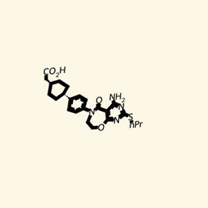 CCCSc1nc(N)c2c(n1)OCCN(c1ccc([C@H]3CC[C@H](CC(=O)O)CC3)cc1)C2=O